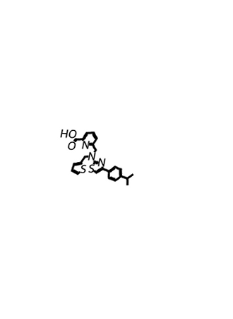 CC(C)c1ccc(-c2csc(N(Cc3cccc(C(=O)O)n3)Cc3cccs3)n2)cc1